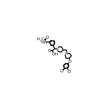 CC(=O)Nc1cccc(C(C(=O)O)N2CCC(CN3CCC(Oc4ccc(Cl)c(Cl)c4)CC3)CC2)c1